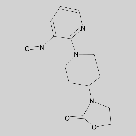 O=Nc1cccnc1N1CCC(N2CCOC2=O)CC1